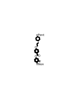 CCCCCCCCCc1ccc(OC(=O)c2ccc(OCCC[C@H]3CC[C@H](CCCCC)CC3)cc2)cc1F